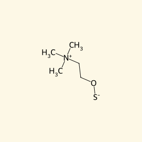 C[N+](C)(C)CCO[S-]